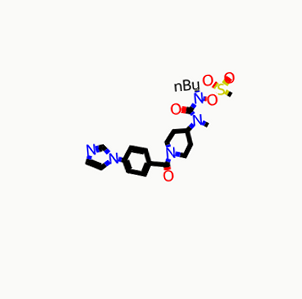 CCCCN(OS(C)(=O)=O)C(=O)N(C)C1CCN(C(=O)c2ccc(-n3ccnc3)cc2)CC1